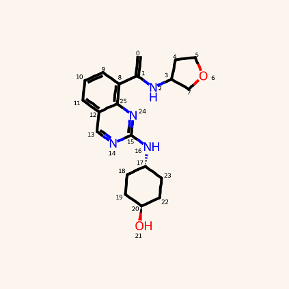 C=C(NC1CCOC1)c1cccc2cnc(N[C@H]3CC[C@H](O)CC3)nc12